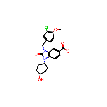 COc1ccc(Cn2c(=O)n([C@H]3CC[C@H](O)CC3)c3ccc(C(=O)O)cc32)cc1Cl